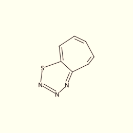 C1=CC=C2SN=NN=C2C=C1